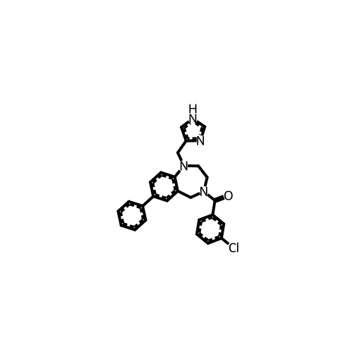 O=C(c1cccc(Cl)c1)N1CCN(Cc2c[nH]cn2)c2ccc(-c3ccccc3)cc2C1